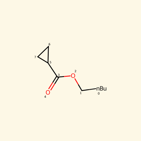 CCCCCOC(=O)C1CC1